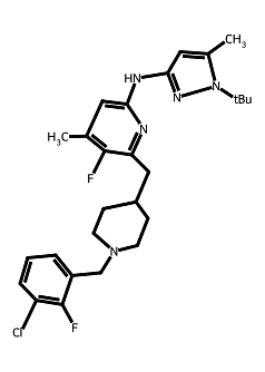 Cc1cc(Nc2cc(C)n(C(C)(C)C)n2)nc(CC2CCN(Cc3cccc(Cl)c3F)CC2)c1F